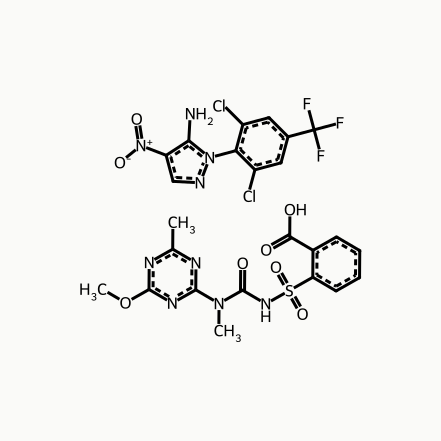 COc1nc(C)nc(N(C)C(=O)NS(=O)(=O)c2ccccc2C(=O)O)n1.Nc1c([N+](=O)[O-])cnn1-c1c(Cl)cc(C(F)(F)F)cc1Cl